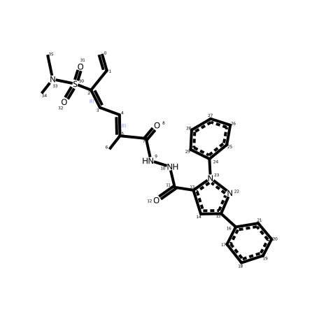 C=C/C(=C\C=C(/C)C(=O)NNC(=O)c1cc(-c2ccccc2)nn1-c1ccccc1)S(=O)(=O)N(C)C